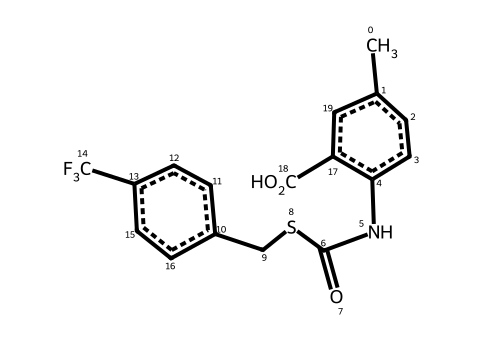 Cc1ccc(NC(=O)SCc2ccc(C(F)(F)F)cc2)c(C(=O)O)c1